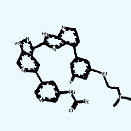 CC(C)C(=O)Nc1cncc(-c2cc3c(-c4nc5c(-c6cc(F)cc(NCCN(C)C)c6)ccnc5[nH]4)n[nH]c3cn2)c1